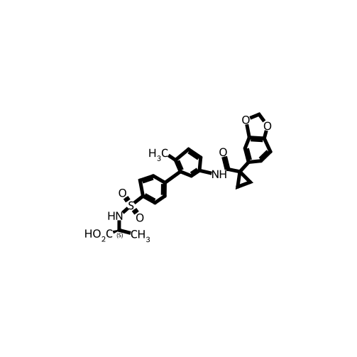 Cc1ccc(NC(=O)C2(c3ccc4c(c3)OCO4)CC2)cc1-c1ccc(S(=O)(=O)N[C@@H](C)C(=O)O)cc1